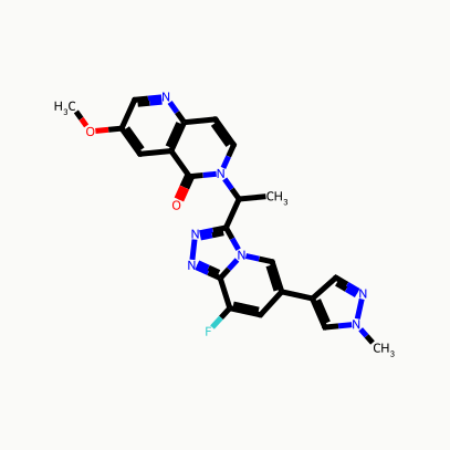 COc1cnc2ccn(C(C)c3nnc4c(F)cc(-c5cnn(C)c5)cn34)c(=O)c2c1